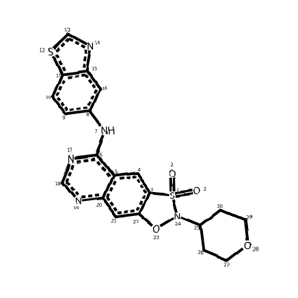 O=S1(=O)c2cc3c(Nc4ccc5scnc5c4)ncnc3cc2ON1C1CCOCC1